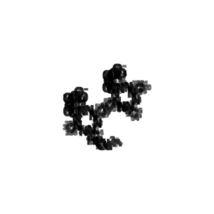 O=S(=O)([O-])c1cc2c3nc4nc(nc5[nH]c(nc6nc(nc([nH]3)c2c(S(=O)(=O)[O-])c1S(=O)(=O)[O-])-c1ccccc1-6)c1ccccc51)-c1ccccc1-4.O=S(=O)([O-])c1cc2c3nc4nc(nc5[nH]c(nc6nc(nc([nH]3)c2c(S(=O)(=O)[O-])c1S(=O)(=O)[O-])-c1ccccc1-6)c1ccccc51)-c1ccccc1-4.[Cu+2].[Cu+2].[Cu+2]